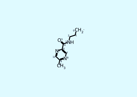 [CH2]CCNC(=O)c1cnc(C)cn1